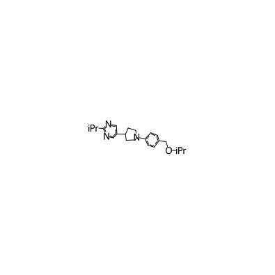 CC(C)OCc1ccc(N2CCC(c3cnc(C(C)C)nc3)CC2)cc1